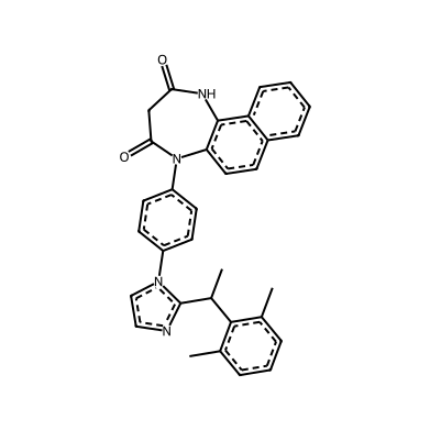 Cc1cccc(C)c1C(C)c1nccn1-c1ccc(N2C(=O)CC(=O)Nc3c2ccc2ccccc32)cc1